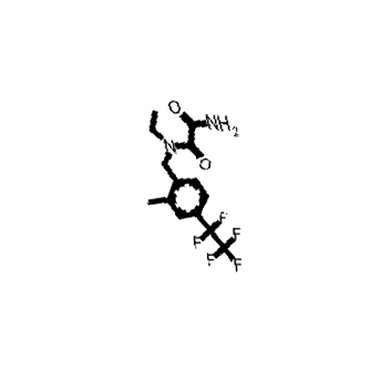 CCN(Cc1ccc(C(F)(F)C(F)(F)F)cc1C)C(=O)C(N)=O